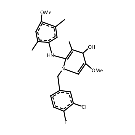 COC1=CN(Cc2ccc(F)c(Cl)c2)C(Nc2cc(C)c(OC)cc2C)=C(C)C1O